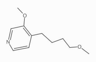 COCCCCc1ccncc1OC